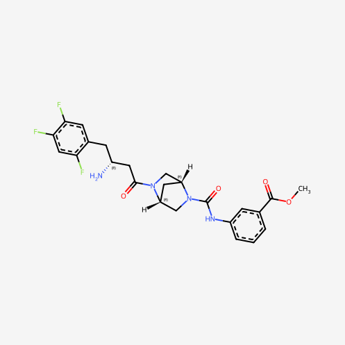 COC(=O)c1cccc(NC(=O)N2C[C@H]3C[C@@H]2CN3C(=O)C[C@H](N)Cc2cc(F)c(F)cc2F)c1